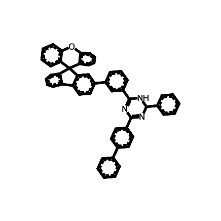 c1ccc(-c2ccc(C3=NC(c4ccccc4)NC(c4cccc(-c5ccc6c(c5)C5(c7ccccc7Oc7ccccc75)c5ccccc5-6)c4)=N3)cc2)cc1